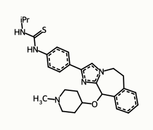 CC(C)NC(=S)Nc1ccc(-c2cn3c(n2)C(OC2CCN(C)CC2)c2ccccc2CC3)cc1